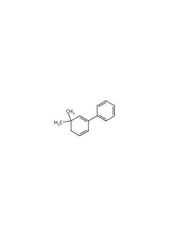 CC1(C)C=C(c2ccccc2)C=CC1